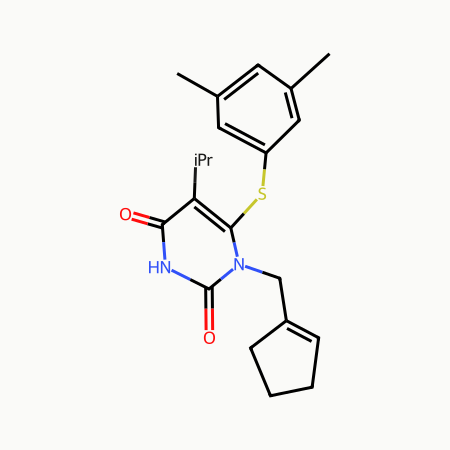 Cc1cc(C)cc(Sc2c(C(C)C)c(=O)[nH]c(=O)n2CC2=CCCC2)c1